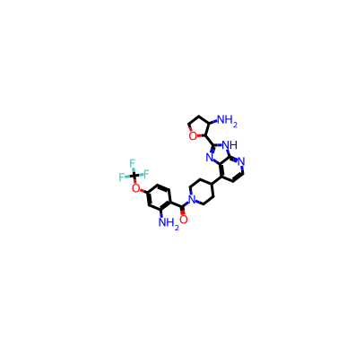 Nc1cc(OC(F)(F)F)ccc1C(=O)N1CCC(c2ccnc3[nH]c(C4OCCC4N)nc23)CC1